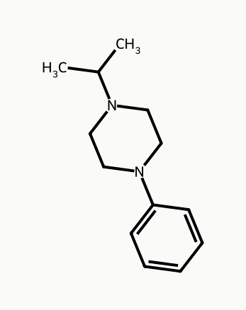 CC(C)N1CCN(c2ccccc2)CC1